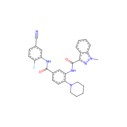 Cn1nc(C(=O)Nc2cc(C(=O)Nc3cc(C#N)ccc3F)ccc2N2CCCCC2)c2ccccc21